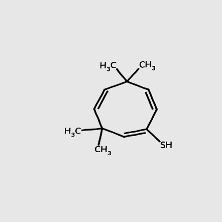 CC1(C)/C=C\C(S)=C/C(C)(C)/C=C\1